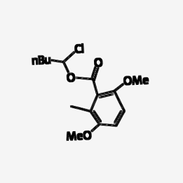 CCCCC(Cl)OC(=O)c1c(OC)ccc(OC)c1C